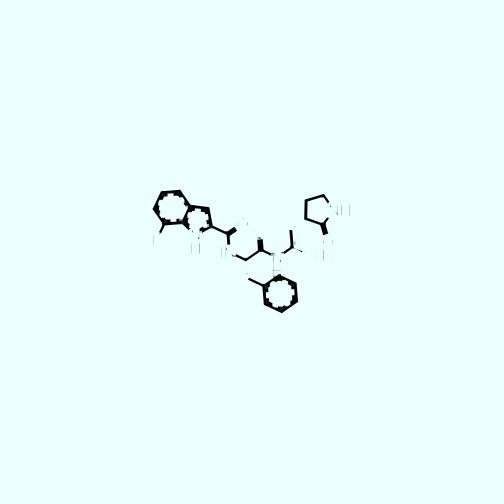 O=C[C@H](C[C@@H]1CCNC1=O)NC(=O)[C@H](Cc1ccccc1)NC(=O)c1cc2cccc(F)c2[nH]1